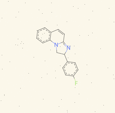 Fc1ccc(C2CN3C(=N2)C=Cc2ccccc23)cc1